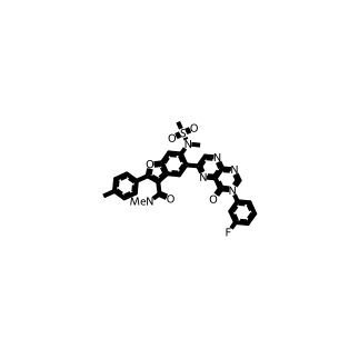 CNC(=O)c1c(-c2ccc(C)cc2)oc2cc(N(C)S(C)(=O)=O)c(-c3cnc4ncn(-c5cccc(F)c5)c(=O)c4n3)cc12